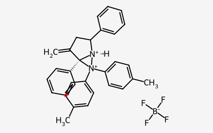 C=C1CC(c2ccccc2)[N@@H+]2[C@@]1(c1ccccc1)[N+]2(c1ccc(C)cc1)c1ccc(C)cc1.F[B-](F)(F)F